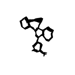 Fc1cccc(C2Cc3c(ccc4ccccc34)C3=C2CCC=C3)c1